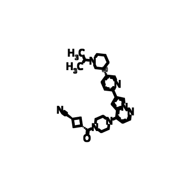 CC(C)N1CCC[C@H](c2ccc(-c3cc4c(N5CCN(C(=O)[C@H]6C[C@H](C#N)C6)CC5)ccnn4c3)nc2)C1